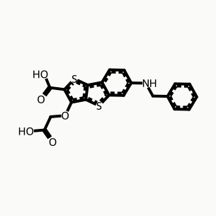 O=C(O)COc1c(C(=O)O)sc2c1sc1cc(NCc3ccccc3)ccc12